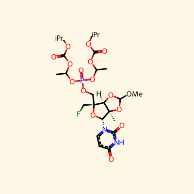 COC1O[C@@H]2[C@@](CF)(COP(=O)(OC(C)OC(=O)OC(C)C)OC(C)OC(=O)OC(C)C)O[C@@H](n3ccc(=O)[nH]c3=O)[C@]2(C)O1